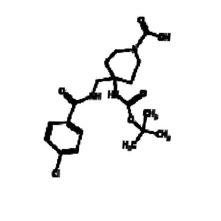 CC(C)(C)OC(=O)NC1(CNC(=O)c2ccc(Cl)cc2)CCN(C(=O)O)CC1